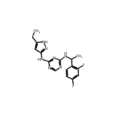 CCc1cc(Nc2ncnc(NC(C)c3ccc(F)cc3F)n2)n[nH]1